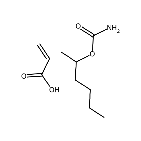 C=CC(=O)O.CCCCC(C)OC(N)=O